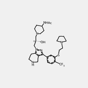 CC(=O)NC1CCN(C[C@H](O)Cn2nc(-c3ccc(C(F)(F)F)c(SCCN4CCCC4)c3)c3c2CCNC3)CC1